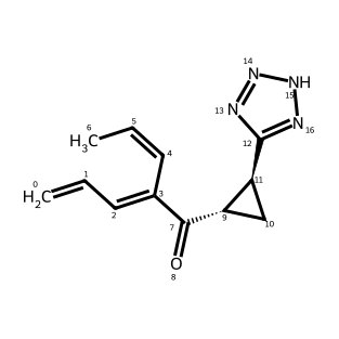 C=C/C=C(\C=C/C)C(=O)[C@H]1C[C@@H]1c1nn[nH]n1